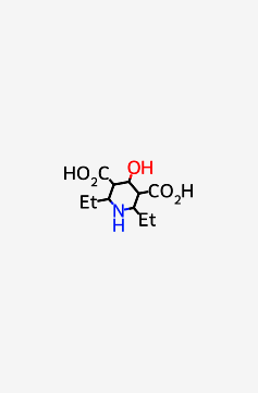 CCC1NC(CC)C(C(=O)O)C(O)C1C(=O)O